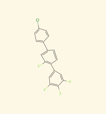 Fc1cc(-c2ccc(Cl)cc2)ccc1-c1cc(F)c(F)c(F)c1